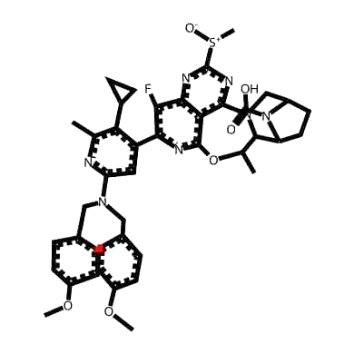 COc1ccc(CN(Cc2ccc(OC)cc2)c2cc(-c3nc4c5c(nc([S+](C)[O-])nc5c3F)N3CC5CCC(C3C(C)O4)N5C(=O)O)c(C3CC3)c(C)n2)cc1